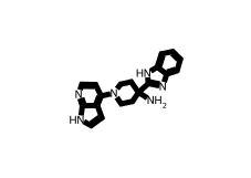 NC1(c2nc3ccccc3[nH]2)CCN(c2ccnc3[nH]ccc23)CC1